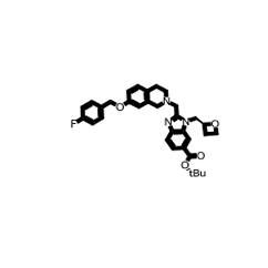 CC(C)(C)OC(=O)c1ccc2nc(CN3CCc4ccc(OCc5ccc(F)cc5)cc4C3)n(C[C@@H]3CCO3)c2c1